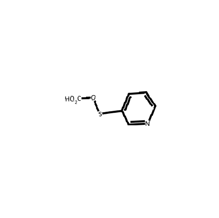 O=C(O)OSc1cccnc1